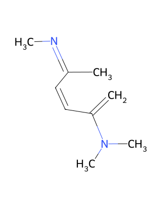 C=C(/C=C\C(C)=N/C)N(C)C